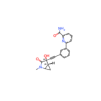 CN1C(=O)[C@](O)(C#Cc2cccc(-c3cccc(C(N)=O)n3)c2)[C@@H]2CC21